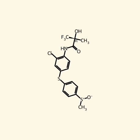 C[S+]([O-])c1ccc(Sc2ccc(NC(=O)[C@@](C)(O)C(F)(F)F)c(Cl)c2)cc1